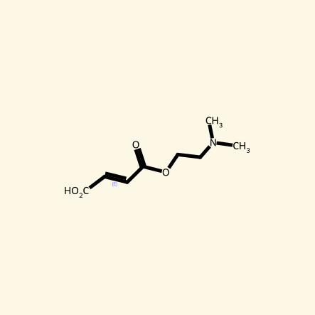 CN(C)CCOC(=O)/C=C/C(=O)O